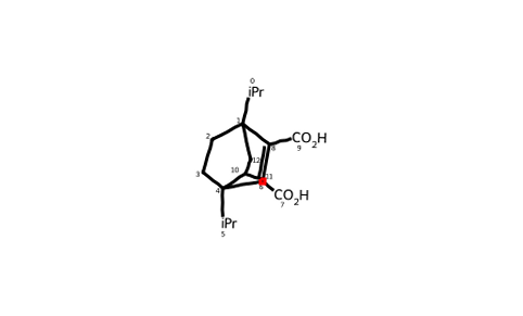 CC(C)C12CCC(C(C)C)(C(C(=O)O)=C1C(=O)O)C(C)C2